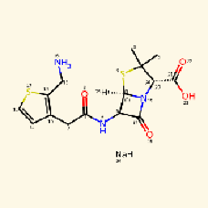 CC1(C)S[C@@H]2C(NC(=O)Cc3ccsc3CN)C(=O)N2[C@H]1C(=O)O.[NaH]